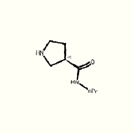 CCCNC(=O)[C@@H]1CCNC1